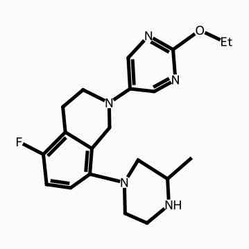 CCOc1ncc(N2CCc3c(F)ccc(N4CCNC(C)C4)c3C2)cn1